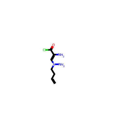 C=CCCN(N)/C=C(\N)C(=O)Cl